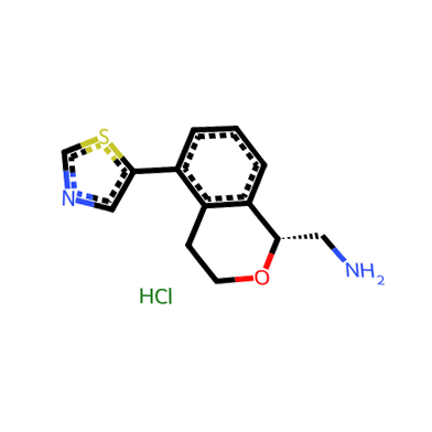 Cl.NC[C@@H]1OCCc2c(-c3cncs3)cccc21